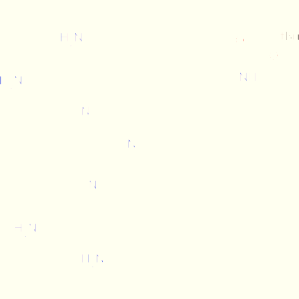 CC(C)(C)OC(=O)NCCCCCCN(CCN(CCCN)CCCN)CCN(CCCN)CCCN